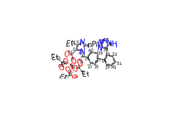 CCCc1nc(CC)c(C(=O)OC(OC(=O)CC)(OC(=O)CC)OC(=O)CC)n1Cc1ccc(-c2ccccc2-c2nnn[nH]2)cc1